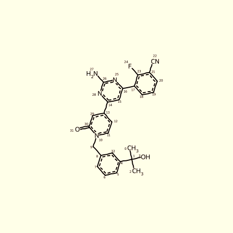 CC(C)(O)c1cccc(Cn2ccc(-c3cc(-c4cccc(C#N)c4F)nc(N)n3)cc2=O)c1